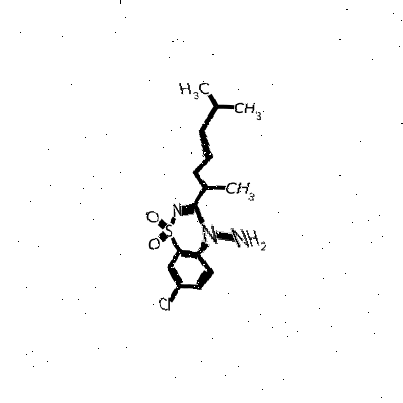 CC(C)CCCC(C)C1=NS(=O)(=O)c2cc(Cl)ccc2N1N